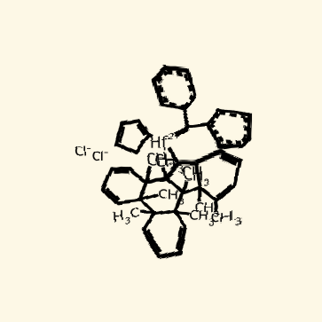 CC1=CC=CC2[CH]([Hf+2]([C]3=CC=CC3)=[C](c3ccccc3)c3ccccc3)C3(C)C4(C)C=CC=CC4(C)C4(C)C=CC=CC4(C)C3(C)C12C.[Cl-].[Cl-]